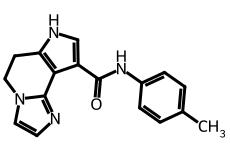 Cc1ccc(NC(=O)c2c[nH]c3c2-c2nccn2CC3)cc1